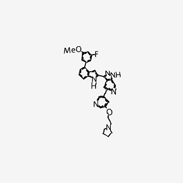 COc1cc(F)cc(-c2cccc3[nH]c(-c4n[nH]c5cnc(-c6cncc(OCCN7CCCC7)c6)cc45)cc23)c1